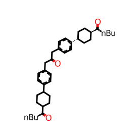 CCCCC(=O)C1CCC(c2ccc(CC(=O)Cc3ccc([C@H]4CC[C@H](C(=O)CCCC)CC4)cc3)cc2)CC1